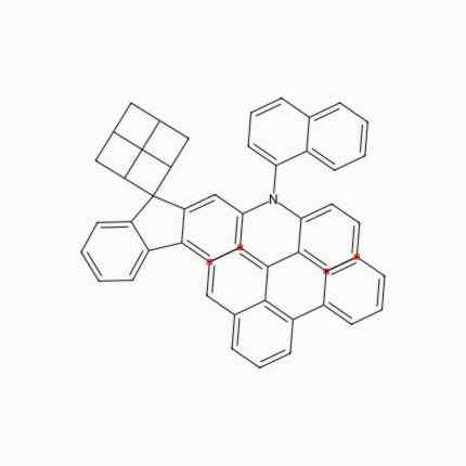 c1ccc(-c2cccc3cccc(-c4ccccc4N(c4ccc5c(c4)C4(c6ccccc6-5)C5CC6CC7CC4C675)c4cccc5ccccc45)c23)cc1